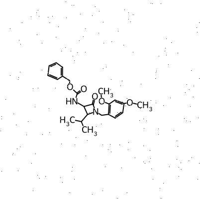 COc1ccc(CN2C(=O)C(NC(=O)OCc3ccccc3)C2C(C)C)c(OC)c1